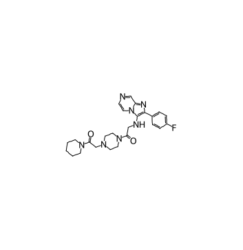 O=C(CNc1c(-c2ccc(F)cc2)nc2cnccn12)N1CCN(CC(=O)N2CCCCC2)CC1